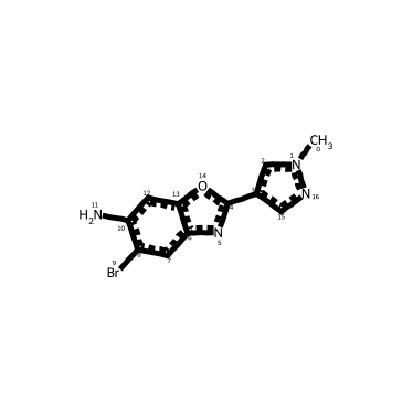 Cn1cc(-c2nc3cc(Br)c(N)cc3o2)cn1